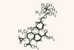 CC(=O)N1c2ccc(C(N)=O)cc2[C@H](Nc2cccc(CO[Si](C)(C)C(C)(C)C)n2)[C@@H](C)[C@@H]1C1CC1